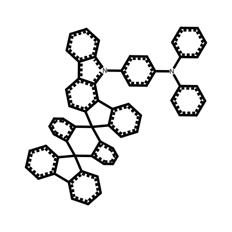 c1ccc(N(c2ccccc2)c2ccc(-n3c4ccccc4c4ccc5c(c43)-c3ccccc3C53c4ccccc4C4(c5ccccc5-c5ccccc54)c4ccccc43)cc2)cc1